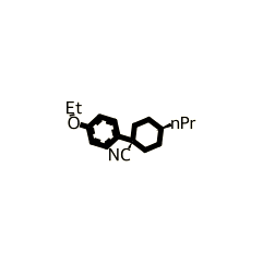 CCC[C@H]1CC[C@@](C#N)(c2ccc(OCC)cc2)CC1